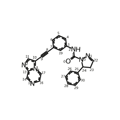 O=C(Nc1cccc(C#Cc2cnc3cnccn23)c1)N1N=CCC1c1ccccc1